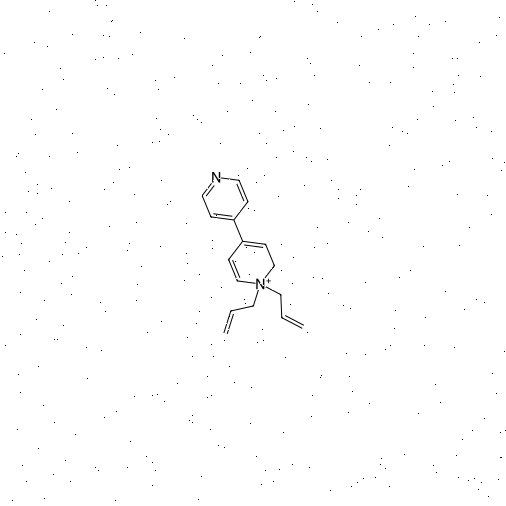 C=CC[N+]1(CC=C)C=CC(c2ccncc2)=CC1